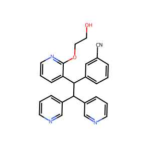 N#Cc1cccc(C(c2cccnc2OCCO)C(c2cccnc2)c2cccnc2)c1